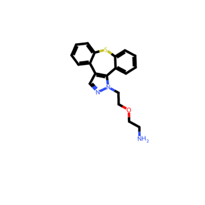 NCCOCCn1ncc2c1-c1ccccc1Sc1ccccc1-2